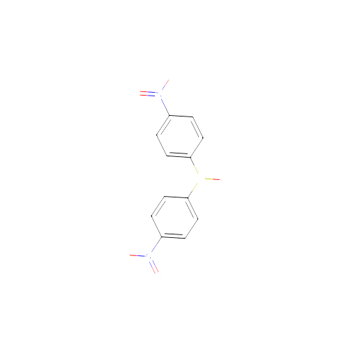 O=[N+]([O-])c1ccc([S+]([O-])c2ccc([N+](=O)[O-])cc2)cc1